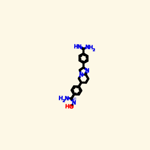 N=C(N)c1ccc(C2CN3CC(c4ccc(/C(N)=N/O)cc4)CCC3=N2)cc1